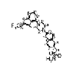 NS(=O)(=O)Cc1ccc(CC(=O)N2CCN(c3ncnc4sc(CC(F)(F)F)cc34)CC2)c(F)c1